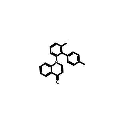 Cc1ccc(-c2c(I)cccc2-n2ccc(=O)c3ccccc32)cc1